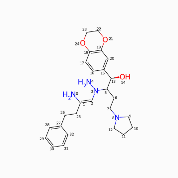 N/C(=C\N(N)C(CCN1CCCC1)[C@H](O)c1ccc2c(c1)OCCO2)CCc1ccccc1